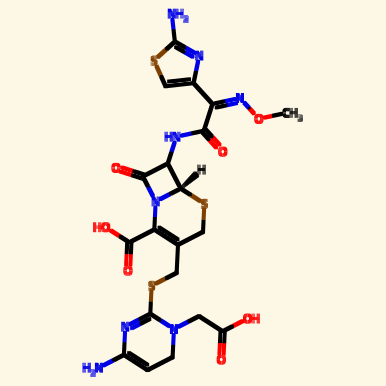 CO/N=C(\C(=O)NC1C(=O)N2C(C(=O)O)=C(CSC3=NC(N)=CCN3CC(=O)O)CS[C@@H]12)c1csc(N)n1